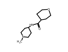 CN1CCC(NC(=O)C2CCOCC2)CC1